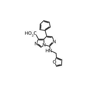 O=C(O)c1ncn2c(NCc3ccco3)ncc(-c3ccccc3)c12